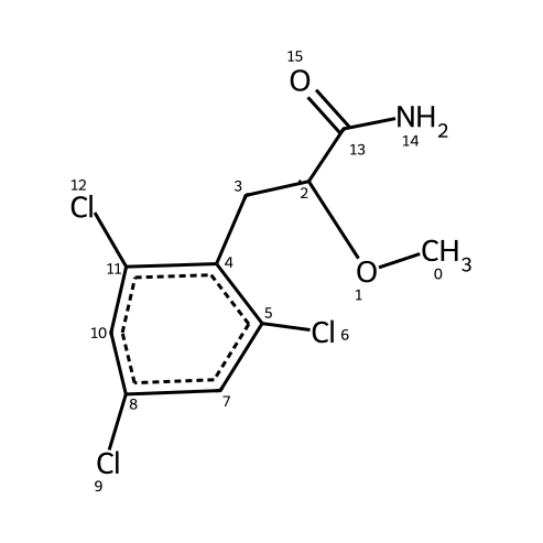 CO[C](Cc1c(Cl)cc(Cl)cc1Cl)C(N)=O